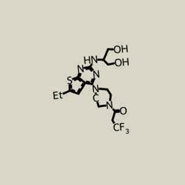 CCc1cc2c(N3CCN(C(=O)CC(F)(F)F)CC3)nc(NC(CO)CO)nc2s1